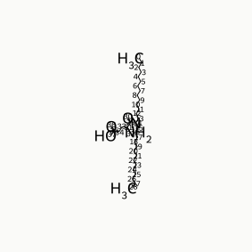 CCCCCCCCCCCCCCN(CCCCCCCCCCCCCC)C(=O)C(N)CCC(=O)O